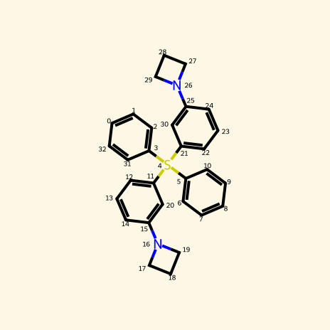 c1ccc(S(c2ccccc2)(c2cccc(N3CCC3)c2)c2cccc(N3CCC3)c2)cc1